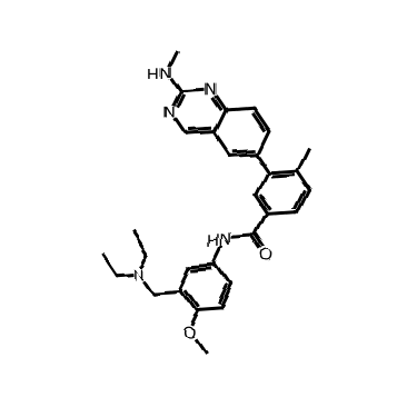 CCN(CC)Cc1cc(NC(=O)c2ccc(C)c(-c3ccc4nc(NC)ncc4c3)c2)ccc1OC